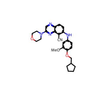 COc1cc(Nc2ccc3ncc(N4CCOCC4)nc3c2C#N)ccc1OCC1CCCC1